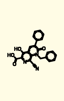 N#Cc1nc(C(=O)O)c(O)c2cc(-c3ccccc3)c(=O)n(Cc3ccccc3)c12